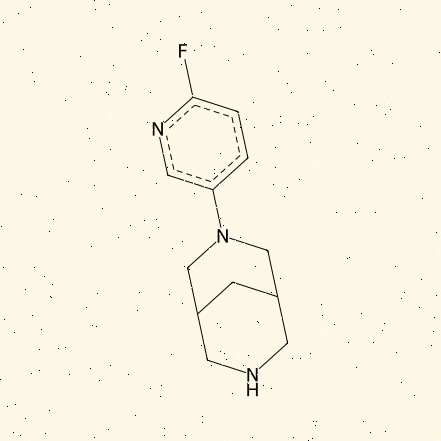 Fc1ccc(N2CC3CNCC(C3)C2)cn1